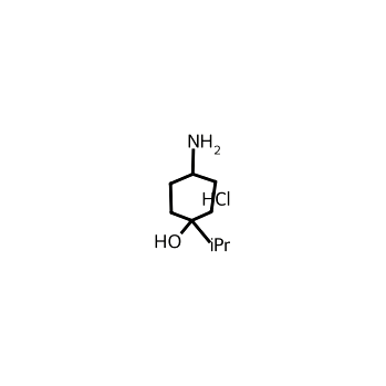 CC(C)C1(O)CCC(N)CC1.Cl